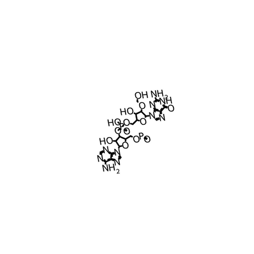 Nc1nc2c(ncn2C2OC(COP(=O)(O)OC3C(COP=O)OC(n4cnc5c(N)ncnc54)C3O)C(O)C2OCO)c(=O)[nH]1